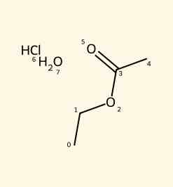 CCOC(C)=O.Cl.O